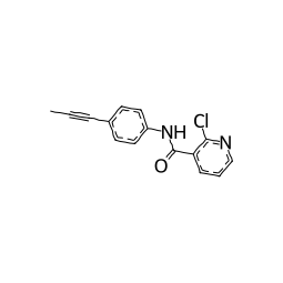 CC#Cc1ccc(NC(=O)c2cccnc2Cl)cc1